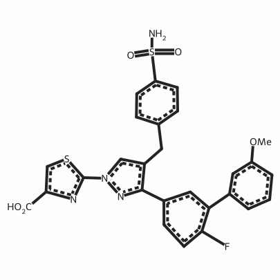 COc1cccc(-c2cc(-c3nn(-c4nc(C(=O)O)cs4)cc3Cc3ccc(S(N)(=O)=O)cc3)ccc2F)c1